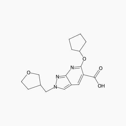 O=C(O)c1cc2cn(CC3CCOC3)nc2nc1OC1CCCC1